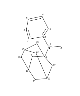 C[S+](c1ccccc1)C12CC3CC(CC(C3)C1)C2